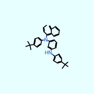 C=c1cccc/c1=C(/C=C\C)N(c1ccc(C(C)(C)C)cc1)c1cccc(Nc2ccc(C(C)(C)C)cc2)c1